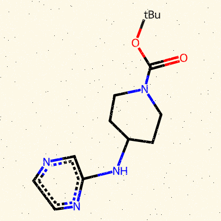 CC(C)(C)OC(=O)N1CCC(Nc2cnccn2)CC1